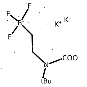 CC(C)(C)N(CC[B-](F)(F)F)C(=O)[O-].[K+].[K+]